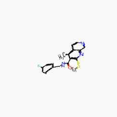 CCSc1nc2cnccc2c(C)c1C(=O)NCc1ccc(F)cc1